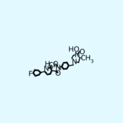 Cc1nc(-c2ccc(F)cc2)ccc1C(=O)N(C)c1ccc(CN2CCN(C(=O)O)[C@@H](C)C2)cc1